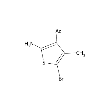 CC(=O)c1c(N)sc(Br)c1C